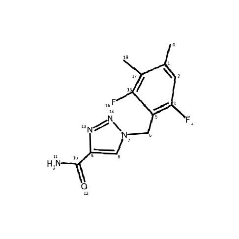 Cc1cc(F)c(Cn2cc(C(N)=O)nn2)c(F)c1C